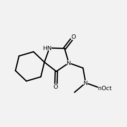 CCCCCCCCN(C)CN1C(=O)NC2(CCCCC2)C1=O